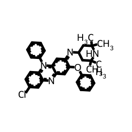 CC1(C)CC(N=c2cc3n(-c4ccccc4)c4ccc(Cl)cc4nc-3cc2Oc2ccccc2)CC(C)(C)N1